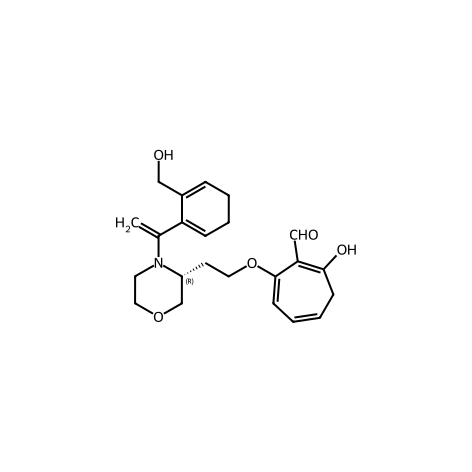 C=C(C1=CCCC=C1CO)N1CCOC[C@H]1CCOC1=CC=CCC(O)=C1C=O